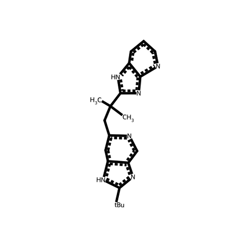 CC(C)(C)c1nc2cnc(CC(C)(C)c3nc4ncccc4[nH]3)cc2[nH]1